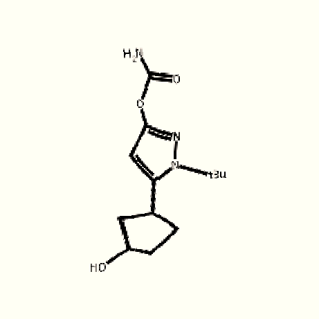 CC(C)(C)n1nc(OC(N)=O)cc1C1CCC(O)C1